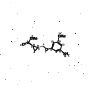 COC(=O)[C@@H]1C[C@H]1COc1cc(N)cc(OC)c1